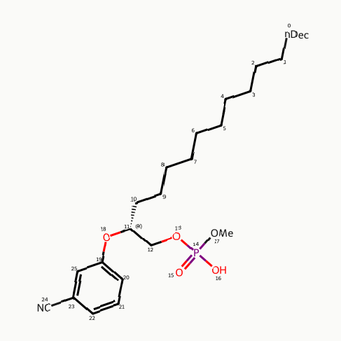 CCCCCCCCCCCCCCCCCCCC[C@H](COP(=O)(O)OC)Oc1cccc(C#N)c1